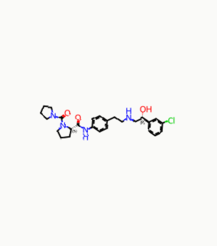 O=C(Nc1ccc(CCNC[C@H](O)c2cccc(Cl)c2)cc1)[C@@H]1CCCN1C(=O)N1CCCC1